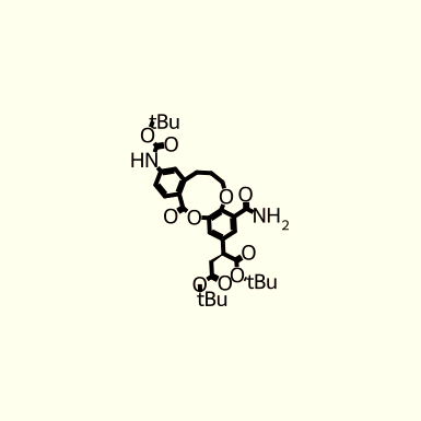 CC(C)(C)OC(=O)C[C@H](C(=O)OC(C)(C)C)c1cc2c(c(C(N)=O)c1)OCCCc1cc(NC(=O)OC(C)(C)C)ccc1C(=O)O2